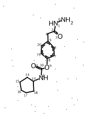 NNC(=O)Cc1ccc(OC(=O)NC2CCCCC2)cc1